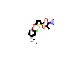 CC(OC1(C)CC=C(Oc2ccc(C(F)(F)F)cc2Cl)S1)C(=O)N(C)C